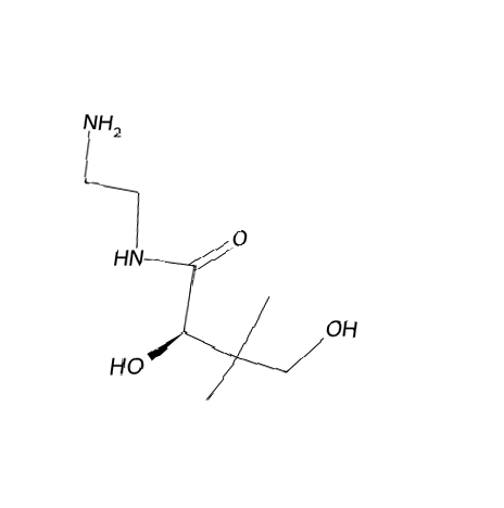 CC(C)(CO)[C@@H](O)C(=O)NCCN